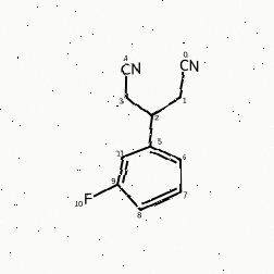 N#CCC(CC#N)c1cccc(F)c1